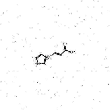 CC=CC(=O)O.c1cc[nH]c1